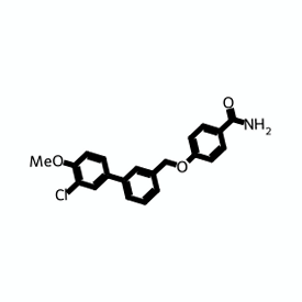 COc1ccc(-c2cccc(COc3ccc(C(N)=O)cc3)c2)cc1Cl